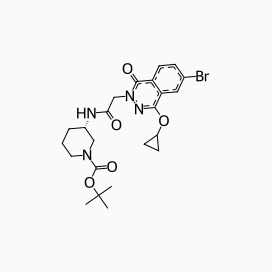 CC(C)(C)OC(=O)N1CCC[C@H](NC(=O)Cn2nc(OC3CC3)c3cc(Br)ccc3c2=O)C1